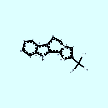 FC(F)(F)c1cn2ccc3c4ccccc4[nH]c3c2n1